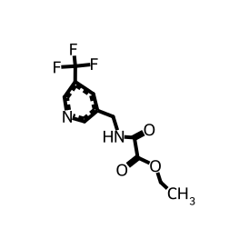 CCOC(=O)C(=O)NCc1cncc(C(F)(F)F)c1